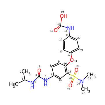 CC(C)NC(=O)Nc1ccc(Oc2ccc(NC(=O)O)cc2)c(S(=O)(=O)N(C)C)c1